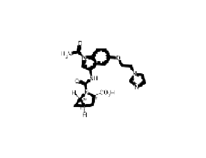 NC(=O)n1cc(NC(=O)N2[C@@H]3C[C@@H]3C[C@H]2C(=O)O)c2cc(OCCn3ccnc3)ccc21